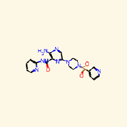 Nc1ncc(N2CCN(S(=O)(=O)c3cccnc3)CC2)nc1C(=O)Nc1ccccn1